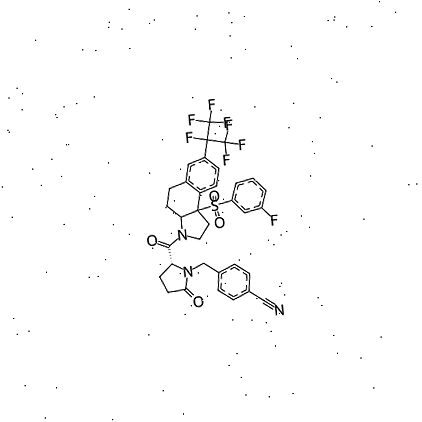 N#Cc1ccc(CN2C(=O)CC[C@@H]2C(=O)N2CCC3(S(=O)(=O)c4cccc(F)c4)c4ccc(C(F)(C(F)(F)F)C(F)(F)F)cc4CCC23)cc1